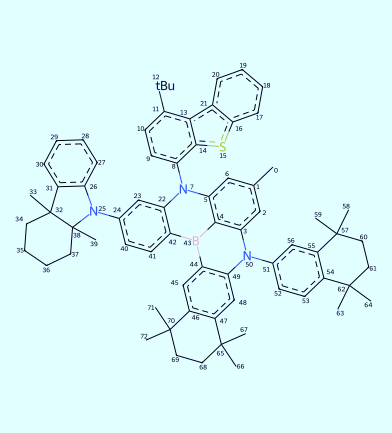 Cc1cc2c3c(c1)N(c1ccc(C(C)(C)C)c4c1sc1ccccc14)c1cc(N4c5ccccc5C5(C)CCCCC45C)ccc1B3c1cc3c(cc1N2c1ccc2c(c1)C(C)(C)CCC2(C)C)C(C)(C)CCC3(C)C